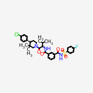 CC(C)[C@@H](NC(=O)c1cccc(C(=O)NS(=O)(=O)c2ccc(F)cc2)c1)C(=O)N1CC[C@H](c2ccc(Cl)cc2)C(C)(C)C1